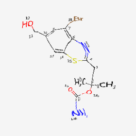 CC(C)(Cc1nc2c(Br)cc(CO)cc2s1)OC(N)=O